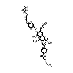 COCCS(=O)(=O)c1ccc(N=Nc2c(S(=O)(=O)O)cc3cc(SOOO)c(N=Nc4ccc(SC#COOS(=O)(=O)O)cc4)c(O)c3c2N)cc1